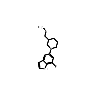 COC[C]1CCCN(c2cc(F)c3[nH]ccc3c2)C1